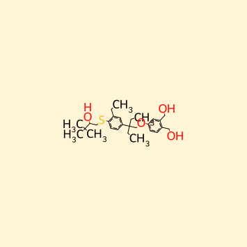 CCc1cc(C(CC)(CC)COc2ccc(CO)c(CO)c2)ccc1SCC(O)C(C)(C)C